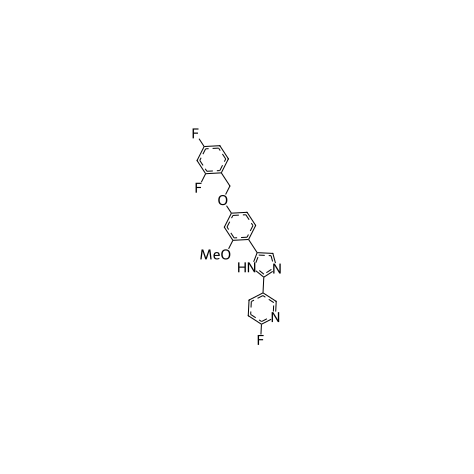 COc1cc(OCc2ccc(F)cc2F)ccc1-c1cnc(-c2ccc(F)nc2)[nH]1